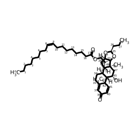 CCCCCCCC/C=C\CCCCCCCC(=O)OCC(=O)[C@@]12O[C@H](CCC)O[C@@H]1C[C@H]1[C@@H]3CCC4=CC(=O)C=C[C@]4(C)[C@H]3[C@@H](O)C[C@@]12C